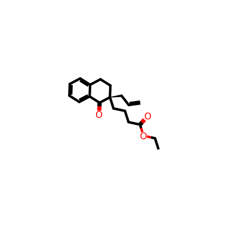 C=CC[C@]1(CCCC(=O)OCC)CCc2ccccc2C1=O